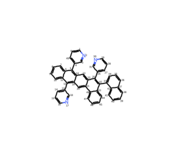 c1cncc(-c2c3ccccc3c(-c3cccnc3)c3cc4c(cc23)c(-c2cccnc2)c(-c2cccc3ccccc23)c2ccccc24)c1